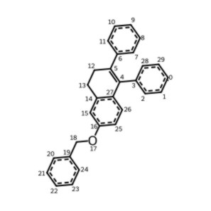 [c]1ccc(C2=C(c3ccccc3)CCc3cc(OCc4ccccc4)ccc32)cc1